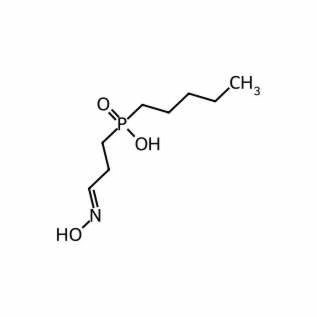 CCCCCP(=O)(O)CCC=NO